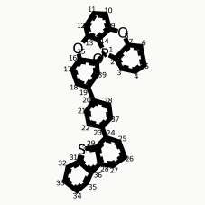 O=P12c3ccccc3Oc3cccc(c31)Oc1ccc(-c3ccc(-c4cccc5c4sc4ccccc45)cc3)cc12